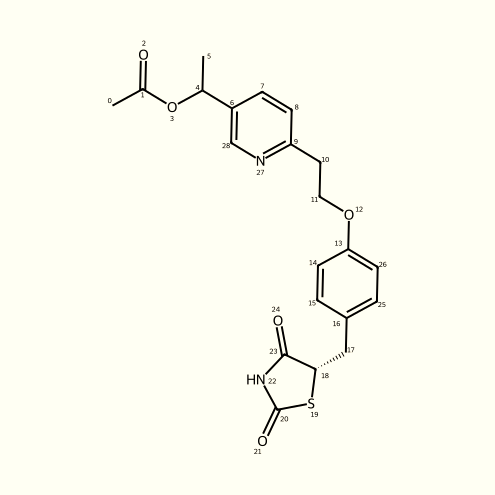 CC(=O)OC(C)c1ccc(CCOc2ccc(C[C@@H]3SC(=O)NC3=O)cc2)nc1